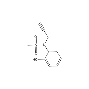 C#CCN(c1ccccc1O)S(C)(=O)=O